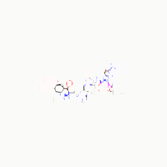 CCn1nc(CC[N+]2(CC3=C(C(=O)O)N4C(=O)[C@@H](NC(=O)/C(=N\OC(C)(C)C(=O)O)c5csc(N)n5)[C@H]4SC3)CCCC2)c(=O)c2cc(O)c(O)cc21